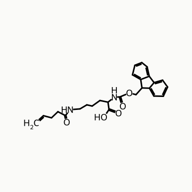 C=CCCC(=O)NCCCCC(NC(=O)OCC1c2ccccc2-c2ccccc21)C(=O)O